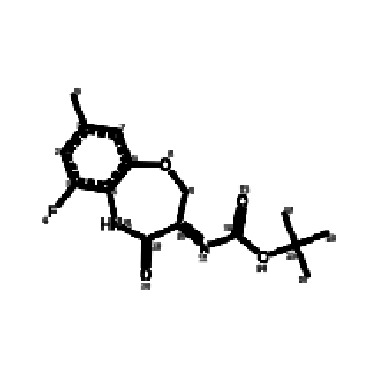 Cc1cc(F)c2c(c1)OC/C(=N\C(=O)OC(C)(C)C)C(=O)N2